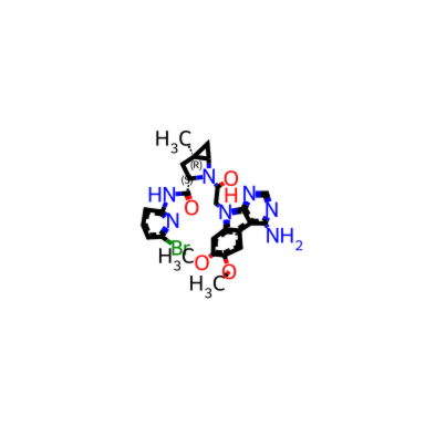 COc1cc2c3c(N)ncnc3n(CC(O)N3C4C[C@]4(C)C[C@H]3C(=O)Nc3cccc(Br)n3)c2cc1OC